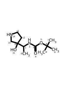 CC(NC(=O)OC(C)(C)C)C1(O)CCNC1